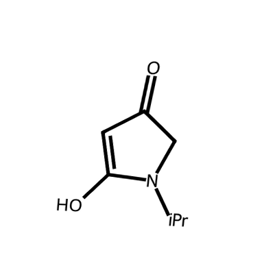 CC(C)N1CC(=O)C=C1O